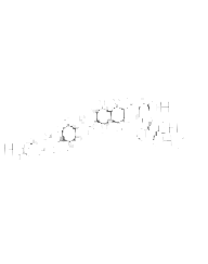 C=C(C)C(=O)OCC(CO)Cc1ccc2cc(CCc3ccc(CCCCC)cc3)ccc2c1